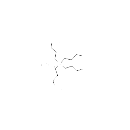 CCC[CH2][Sn]([CH2]CCC)([CH2]CCC)[CH2]CCC.[Br-].[NH4+]